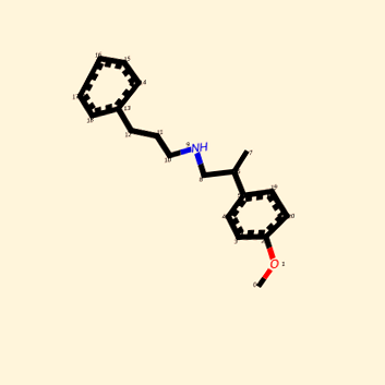 COc1ccc(C(C)CNCCCc2ccccc2)cc1